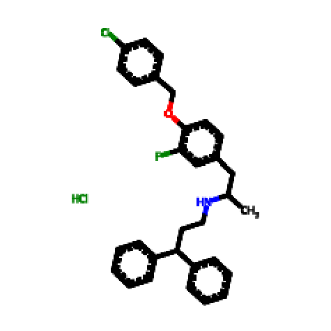 CC(Cc1ccc(OCc2ccc(Cl)cc2)c(F)c1)NCCC(c1ccccc1)c1ccccc1.Cl